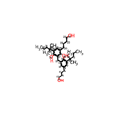 CCCC(C)(C)c1cc(CCCCO)cc(Cc2cc(CCCCO)cc(C(C)(C)CCC)c2O)c1O